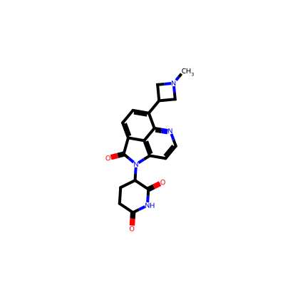 CN1CC(c2ccc3c4c(ccnc24)N(C2CCC(=O)NC2=O)C3=O)C1